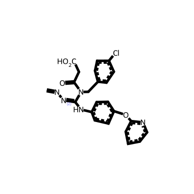 C=N/N=C(/Nc1ccc(Oc2ccccn2)cc1)N(Cc1ccc(Cl)cc1)C(=O)CC(=O)O